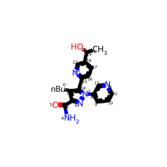 CCCCc1c(C(N)=O)nn(-c2cccnc2)c1-c1ccc(C(C)O)cn1